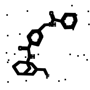 O=C(NCc1ccc(C(=O)NC23CCCC(CC(CF)C2)C3)cc1)c1ccccc1